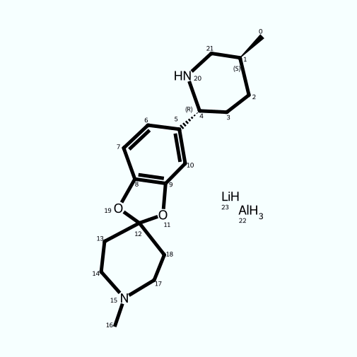 C[C@H]1CC[C@H](c2ccc3c(c2)OC2(CCN(C)CC2)O3)NC1.[AlH3].[LiH]